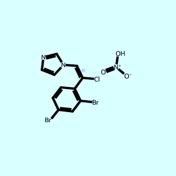 Cl/C(=C/n1ccnc1)c1ccc(Br)cc1Br.O=[N+]([O-])O